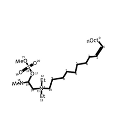 CCCCCCCC/C=C\CCCCCCCC[N+](CC)(CC)CC(NC)OS(=O)(=O)OC